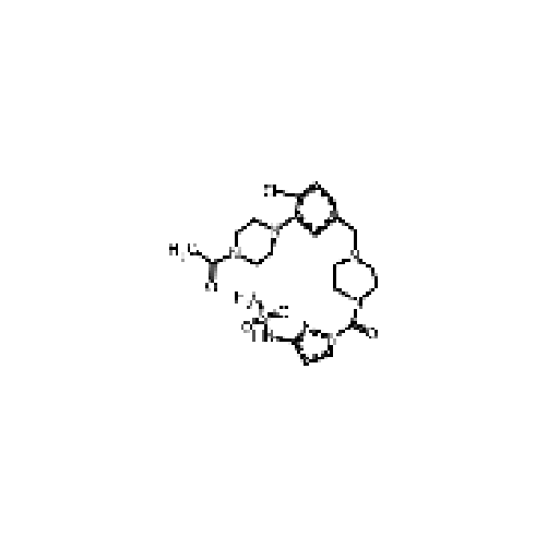 CC(=O)N1CCN(c2cc(CN3CCN(C(=O)n4ccc(NS(C)(=O)=O)n4)CC3)ccc2Cl)CC1